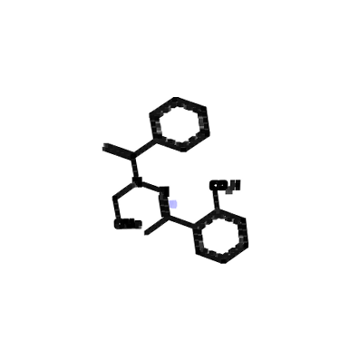 C=C(c1ccccc1)N(COC)/N=C(\C)c1ccccc1C(=O)O